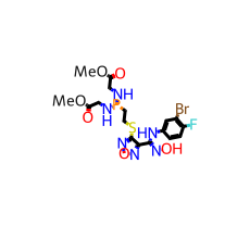 COC(=O)CNP(CCSc1nonc1/C(=N/O)Nc1ccc(F)c(Br)c1)NCC(=O)OC